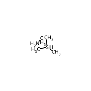 CN.C[SiH](C)C